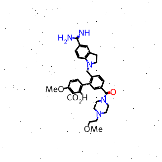 COCCN1CCN(C(=O)c2ccc(CN3CCc4cc(C(=N)N)ccc43)c(-c3ccc(OC)cc3C(=O)O)c2)CC1